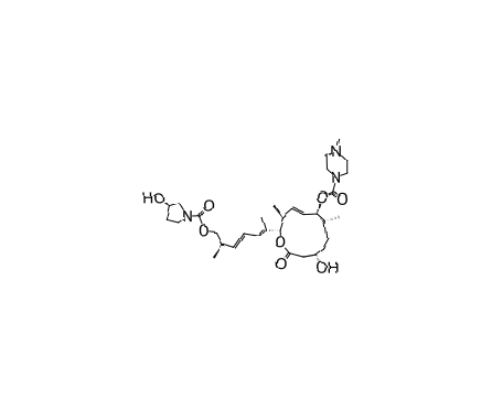 C/C(=C\C=C\[C@@H](C)COC(=O)N1CC[C@@H](O)C1)[C@H]1OC(=O)C[C@@H](O)CC[C@@H](C)[C@H](OC(=O)N2CCN(C)CC2)/C=C/[C@@H]1C